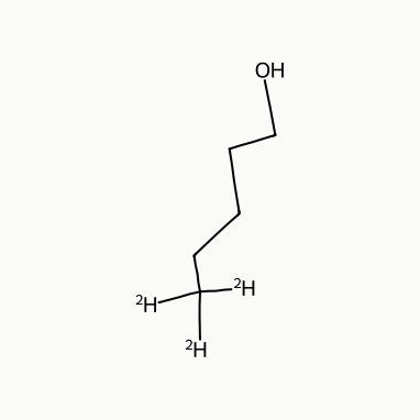 [2H]C([2H])([2H])CCCCO